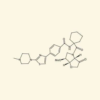 CO[C@H]1CN(C(=O)C2(NC(=O)c3ccc(-c4csc(N5CCN(C)CC5)n4)cc3)CCCCC2)[C@@H]2C(=O)CO[C@H]12